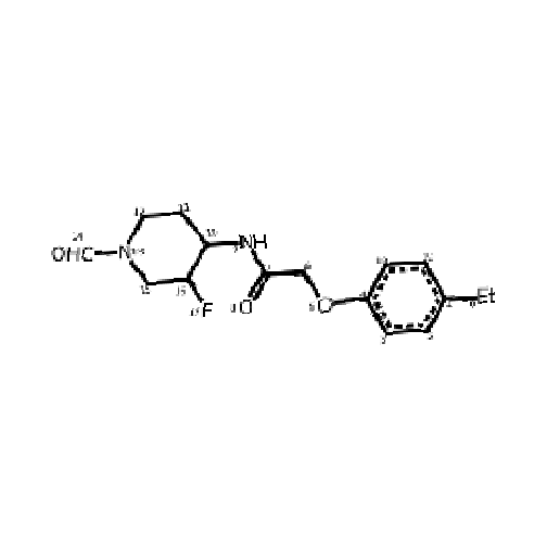 CCc1ccc(OCC(=O)NC2CCN(C=O)CC2F)cc1